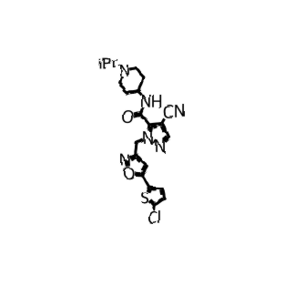 CC(C)N1CCC(NC(=O)c2c(C#N)cnn2Cc2cc(-c3ccc(Cl)s3)on2)CC1